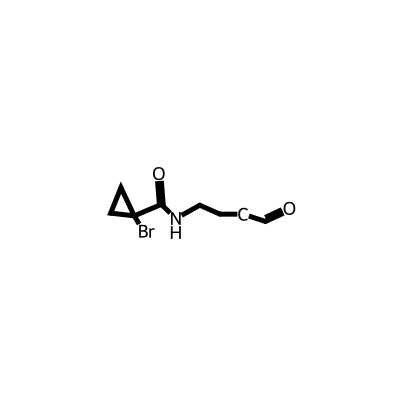 O=CCCCNC(=O)C1(Br)CC1